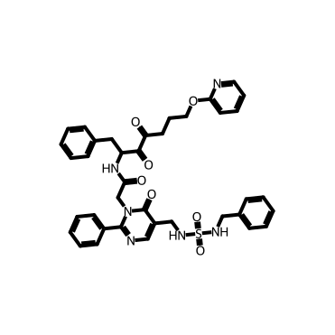 O=C(Cn1c(-c2ccccc2)ncc(CNS(=O)(=O)NCc2ccccc2)c1=O)NC(Cc1ccccc1)C(=O)C(=O)CCCOc1ccccn1